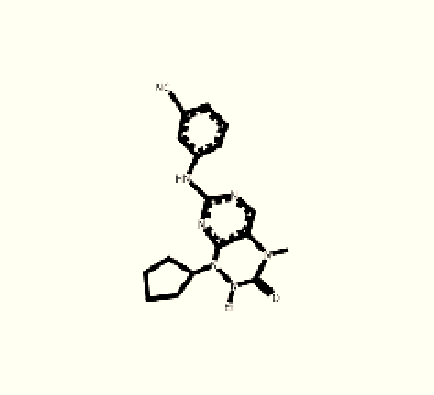 CCN1C(=O)N(C)c2cnc(Nc3cccc(C#N)c3)nc2N1C1CCCC1